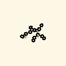 c1ccc(-c2ccc3c(c2)c2cc4c5ccccc5c5cc(-c6ccc7c(c6)oc6ccccc67)ccc5c4cc2n3-c2cc(-c3ccc4ccccc4c3)nc(-c3ccc4ccccc4c3)c2)cc1